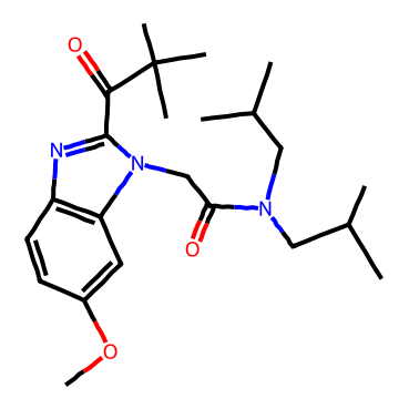 COc1ccc2nc(C(=O)C(C)(C)C)n(CC(=O)N(CC(C)C)CC(C)C)c2c1